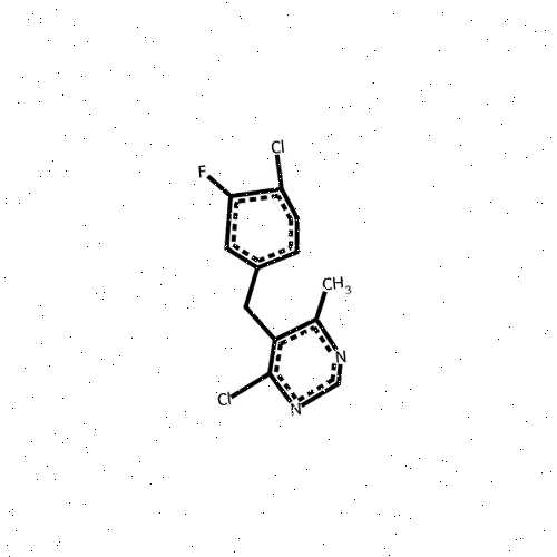 Cc1ncnc(Cl)c1Cc1ccc(Cl)c(F)c1